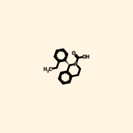 CCc1ccccc1[C@H]1c2ccccc2CCN1C(=O)O